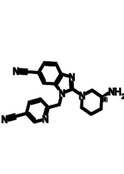 N#Cc1ccc(Cn2c(N3CCC[C@H](N)C3)nc3ccc(C#N)cc32)nc1